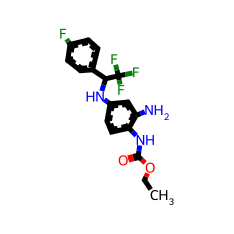 CCOC(=O)Nc1ccc(NC(c2ccc(F)cc2)C(F)(F)F)cc1N